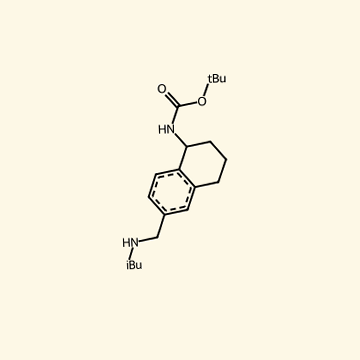 CCC(C)NCc1ccc2c(c1)CCCC2NC(=O)OC(C)(C)C